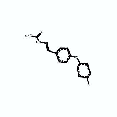 COC(=O)N/N=C/c1ccc(Oc2ccc(F)cc2)cc1